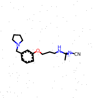 C/C(=N\C#N)NCCCOc1cccc(CN2CCCC2)c1